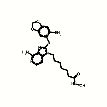 Bc1cc2c(cc1Sc1nc3c(N)nccc3n1CCCCCCC(=O)NO)OCO2